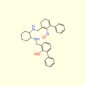 O=NC1=C(CNC2CCCCC2NCc2cccc(-c3ccccc3)c2O)CCC=C1c1ccccc1